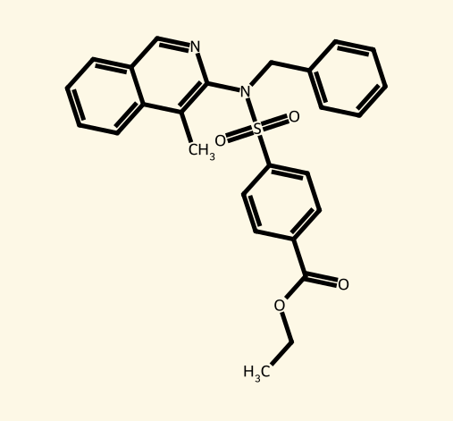 CCOC(=O)c1ccc(S(=O)(=O)N(Cc2ccccc2)c2ncc3ccccc3c2C)cc1